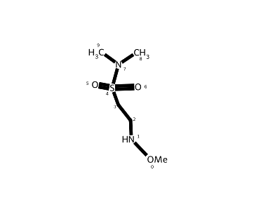 CONCCS(=O)(=O)N(C)C